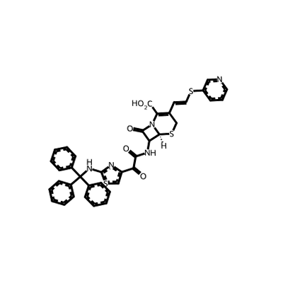 O=C(O)C1=C(C=CSc2cccnc2)CS[C@H]2C(NC(=O)C(=O)c3csc(NC(c4ccccc4)(c4ccccc4)c4ccccc4)n3)C(=O)N12